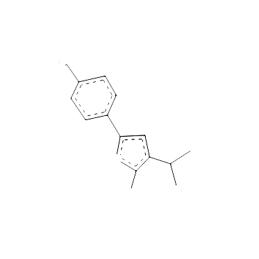 CC(Br)c1cc(-c2ccc(Cl)cc2)oc1C(=O)O